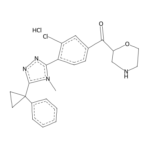 Cl.Cn1c(-c2ccc(C(=O)C3CNCCO3)cc2Cl)nnc1C1(c2ccccc2)CC1